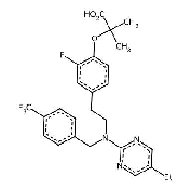 CCc1cnc(N(CCc2ccc(OC(C)(C)C(=O)O)c(F)c2)Cc2ccc(C(F)(F)F)cc2)nc1